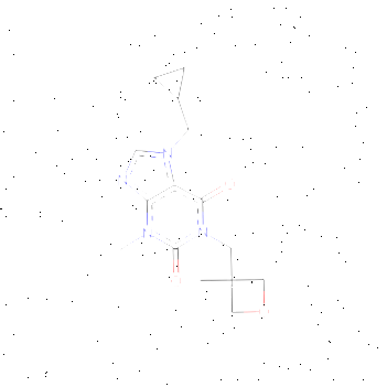 Cn1c(=O)n(CC2(C)COC2)c(=O)c2c1ncn2CC1CC1